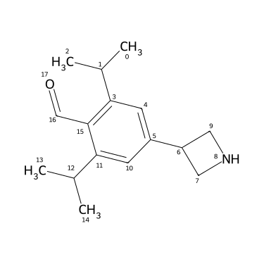 CC(C)c1cc(C2CNC2)cc(C(C)C)c1C=O